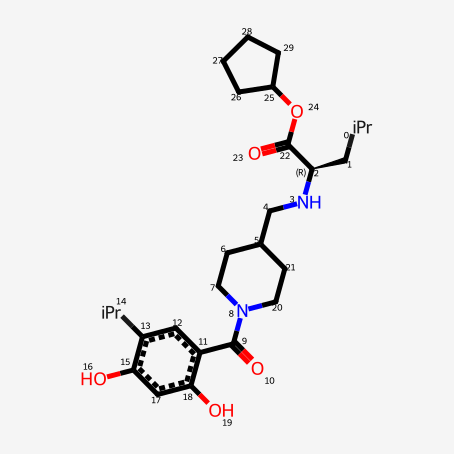 CC(C)C[C@@H](NCC1CCN(C(=O)c2cc(C(C)C)c(O)cc2O)CC1)C(=O)OC1CCCC1